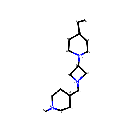 CCC1CCN(C2CN(CC3CCN(C)CC3)C2)CC1